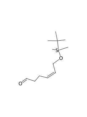 CC(C)(C)[Si](C)(C)OC/C=C\CCC=O